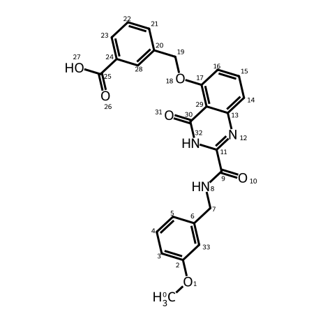 COc1cccc(CNC(=O)c2nc3cccc(OCc4cccc(C(=O)O)c4)c3c(=O)[nH]2)c1